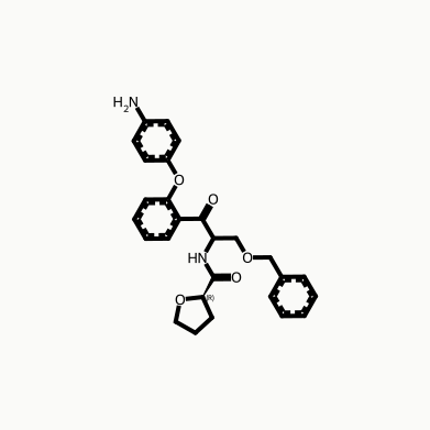 Nc1ccc(Oc2ccccc2C(=O)C(COCc2ccccc2)NC(=O)[C@H]2CCCO2)cc1